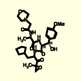 COc1ccc([C@H](O)[C@H](NC(=O)C(C)NC(=O)CN2CCOCC2)C(=O)NC(CC2CCCC2)C(=O)C2(C)CO2)cc1